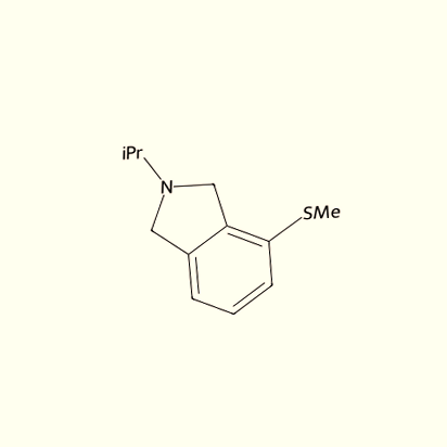 CSc1cccc2c1CN(C(C)C)C2